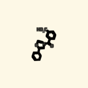 O=C(O)c1cccc(C(=O)N2C=COC(C3=CC=CCC3)=C2)c1